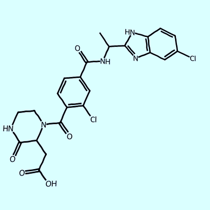 CC(NC(=O)c1ccc(C(=O)N2CCNC(=O)C2CC(=O)O)c(Cl)c1)c1nc2cc(Cl)ccc2[nH]1